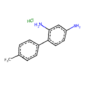 Cl.Nc1ccc(-c2ccc(C(F)(F)F)cc2)c(N)c1